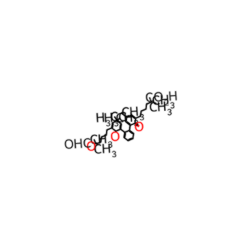 CC1(C)C=C(CCCCC(C)(C)OC=O)C(=O)C(c2ccccc2C2=CC(C)(C)C=C(CCCCC(C)(C)C(=O)O)C2=O)=C1